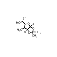 CC[C@@H](O)[C@H]1O[C@@H]2OC(C)(C)O[C@H]2C1C